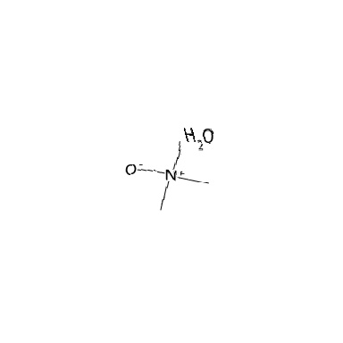 C[N+](C)(C)[O-].O